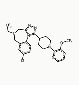 FC(F)(F)CN1Cc2cc(Cl)ccc2-n2c(nnc2C2CCN(c3ncccc3OC(F)(F)F)CC2)C1